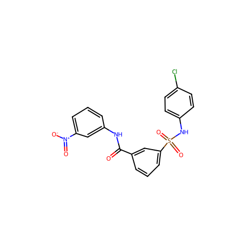 O=C(Nc1cccc([N+](=O)[O-])c1)c1cccc(S(=O)(=O)Nc2ccc(Cl)cc2)c1